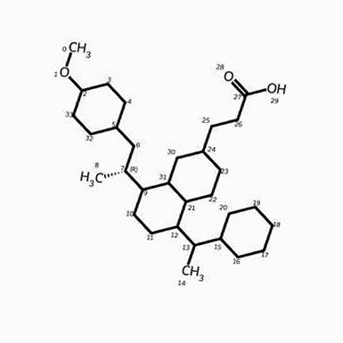 COC1CCC(C[C@@H](C)C2CCC(C(C)C3CCCCC3)C3CCC(CCC(=O)O)CC32)CC1